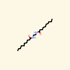 CCCCCCCCCC(=O)NCCNC(=O)CCCCCCCCC